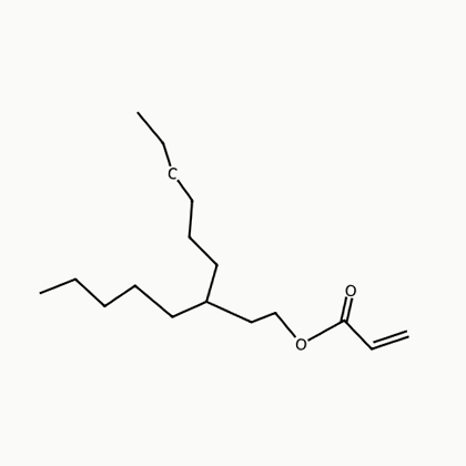 C=CC(=O)OCCC(CCCCC)CCCCCC